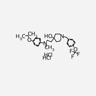 CC(C)Oc1ccc(N(C)CCC2(O)CCN(Cc3ccc(OC(F)(F)F)cc3)CC2)cc1.Cl.Cl